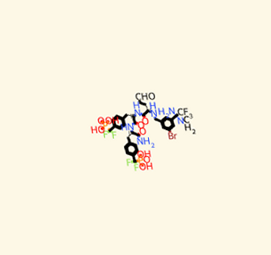 C=NC(N)(c1cc(Br)cc(CN[C@@H](CCC=O)C(=O)N[C@@H](Cc2ccc(C(F)(F)P(=O)(O)O)cc2)C(=O)N[C@@H](Cc2ccc(C(F)(F)P(=O)(O)O)cc2)C(N)=O)c1)C(F)(F)F